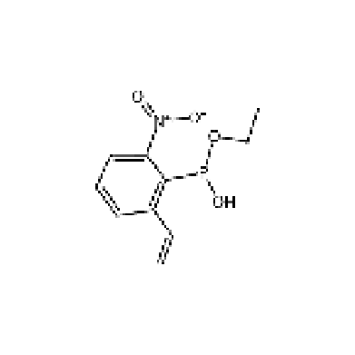 C=Cc1cccc([N+](=O)[O-])c1P(O)OCC